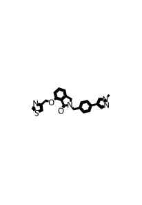 Cn1cc(-c2ccc(CN3Cc4cccc(OCc5cscn5)c4C3=O)cc2)cn1